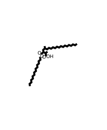 CCCCCCCCCCCCCCCCOC(=O)C(CC(C)CCCCCCCCCCCCCCCC)C(C)C(=O)O